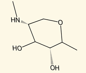 CN[C@@H]1COC(C)[C@H](O)C1O